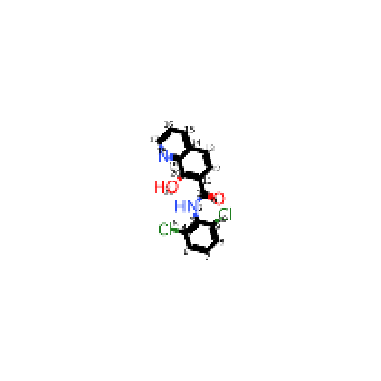 O=C(Nc1c(Cl)cccc1Cl)c1ccc2cccnc2c1O